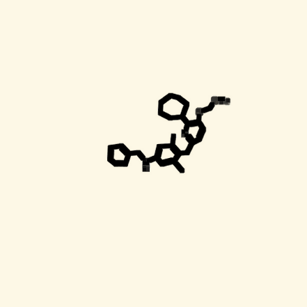 COCOc1ccc(Cc2c(C)cc(NCc3ccccc3)cc2C)nc1C1CCCCCC1